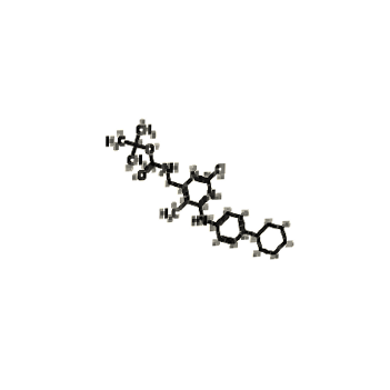 Cc1c(CNC(=O)OC(C)(C)C)nc(Cl)nc1Nc1ccc(C2CCCCC2)cc1